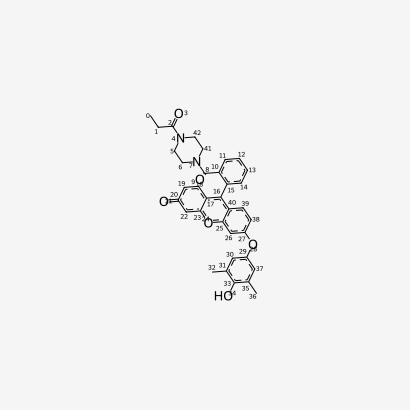 CCC(=O)N1CCN(C(=O)c2ccccc2-c2c3ccc(=O)cc-3oc3cc(Oc4cc(C)c(O)c(C)c4)ccc23)CC1